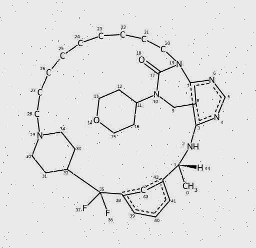 C[C@H]1Nc2ncnc3c2CN(C2CCOCC2)C(=O)N3CCCCCCCCCN2CCC(CC2)C(F)(F)c2cccc1c2